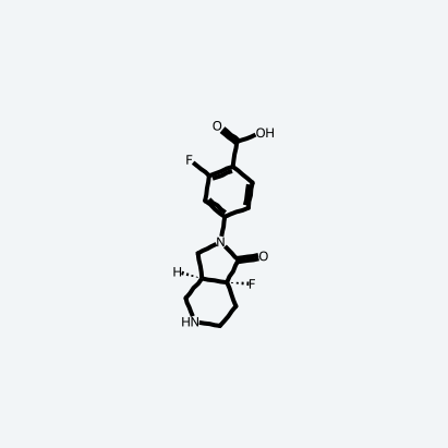 O=C(O)c1ccc(N2C[C@@H]3CNCC[C@]3(F)C2=O)cc1F